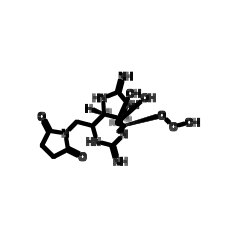 N=C1N[C@H]2C(CN3C(=O)CCC3=O)NC(=N)N3C[C@H](OOO)C(O)(O)[C@]23N1